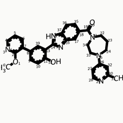 COc1ncccc1-c1ccc(O)c(-c2nc3cc(C(=O)N4CCCN(c5ccnc(C)c5)CC4)ccc3[nH]2)c1